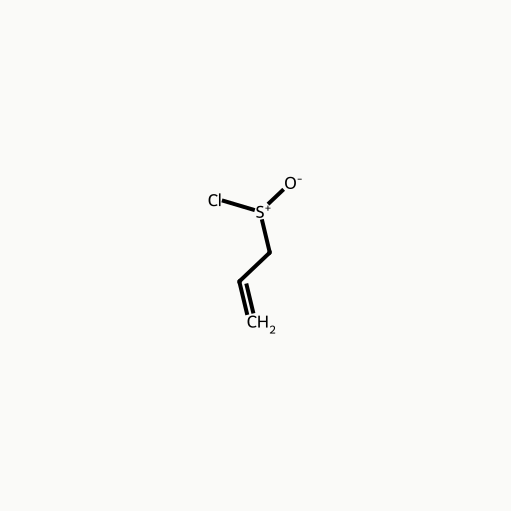 C=CC[S+]([O-])Cl